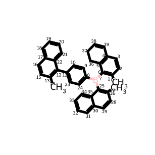 Cc1ccc2c(c1B(c1ccc(-c3c(C)ccc4ccccc34)cc1)c1c(C)ccc3ccccc13)CCC=C2